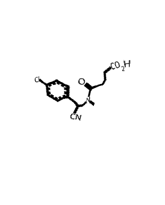 CN(C(=O)CCC(=O)O)C(C#N)c1ccc(Cl)cc1